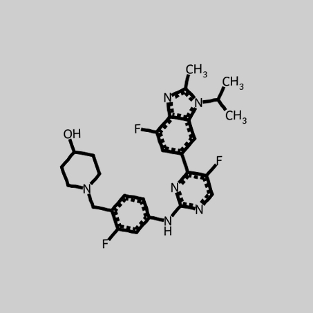 Cc1nc2c(F)cc(-c3nc(Nc4ccc(CN5CCC(O)CC5)c(F)c4)ncc3F)cc2n1C(C)C